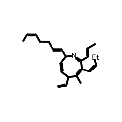 C=CC1C=CC(/C=C/CC/C=C\C)N=C(/C=C/C)C(/C=C\CC)=C\1C